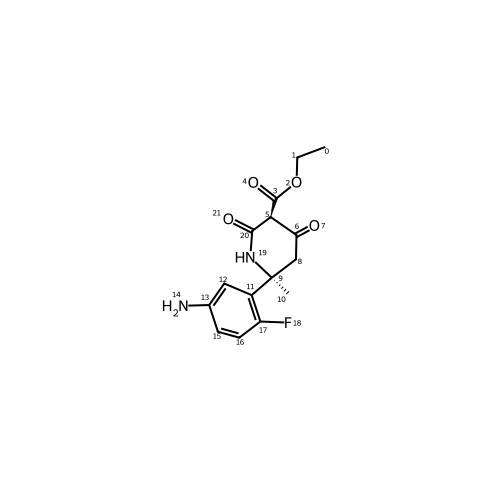 CCOC(=O)[C@H]1C(=O)C[C@@](C)(c2cc(N)ccc2F)NC1=O